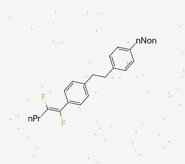 CCCCCCCCCc1ccc(CCc2ccc(/C(F)=C(\F)CCC)cc2)cc1